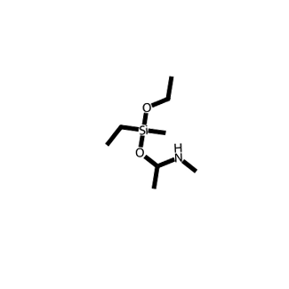 CCO[Si](C)(CC)OC(C)NC